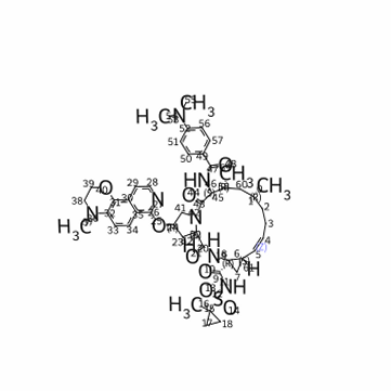 C[C@@H]1CC/C=C\[C@@H]2C[C@@]2(C(=O)NS(=O)(=O)C2(C)CC2)NC(=O)[C@@H]2C[C@@H](Oc3nccc4c5c(ccc34)N(C)CCO5)CN2C(=O)[C@@H](NC(=O)c2ccc(N(C)C)cc2)[C@H](C)C1